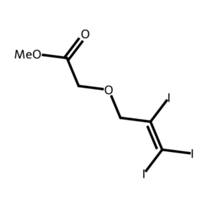 COC(=O)COCC(I)=C(I)I